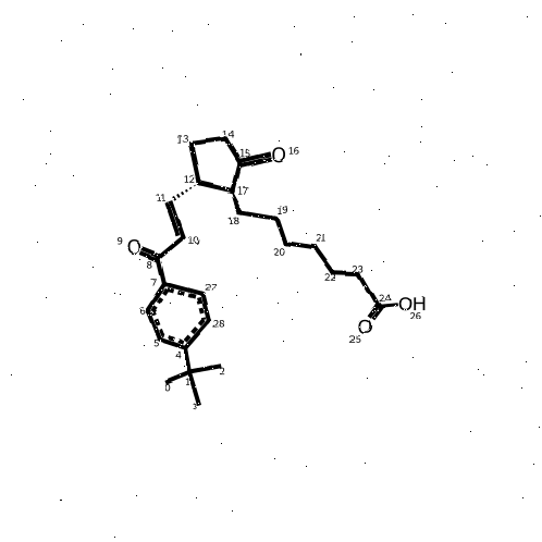 CC(C)(C)c1ccc(C(=O)C=C[C@@H]2CCC(=O)[C@H]2CCCCCCC(=O)O)cc1